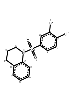 O=S(=O)(c1ccc(Cl)c(Br)c1)N1CCCc2ccccc21